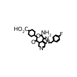 NC(=O)c1nn(Cc2ccc(F)cc2)c2c1C(C(=O)CC1CCC(C(=O)O)CC1)CN=C2